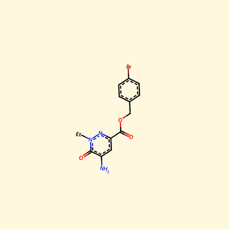 CCn1nc(C(=O)OCc2ccc(Br)cc2)cc(N)c1=O